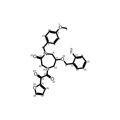 COc1ccc(CN2CC(OCc3ccccc3F)CN(C(=O)C(=O)c3ccco3)CC2=O)cc1